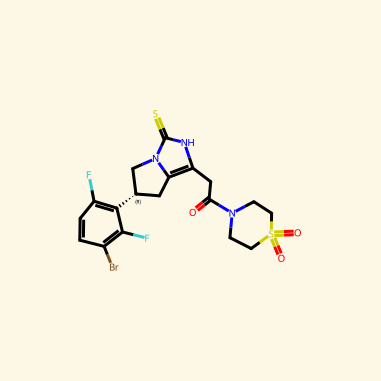 O=C(Cc1[nH]c(=S)n2c1C[C@H](c1c(F)ccc(Br)c1F)C2)N1CCS(=O)(=O)CC1